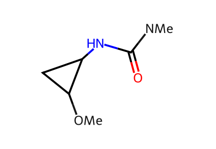 CNC(=O)NC1CC1OC